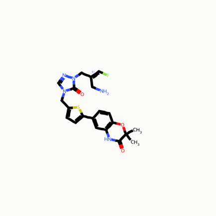 CC1(C)Oc2ccc(-c3ccc(Cn4cnn(C/C(=C/F)CN)c4=O)s3)cc2NC1=O